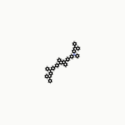 C(=C(c1ccccc1)c1ccccc1)c1ccc(C(c2ccccc2)c2ccc(-c3ccc(-c4cc5c6ccccc6c(-c6ccc(-c7ccc(N(c8ccccc8)c8ccc(C=C(c9ccccc9)c9ccccc9)cc8)cc7)cc6)cc5c5ccccc45)cc3)cc2)cc1